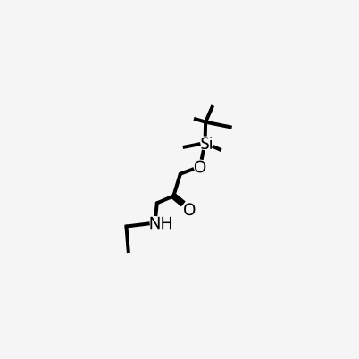 CCNCC(=O)CO[Si](C)(C)C(C)(C)C